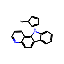 [Ru][CH]1C=CC=C1.c1ccc2c(c1)[nH]c1c3cccnc3ccc21